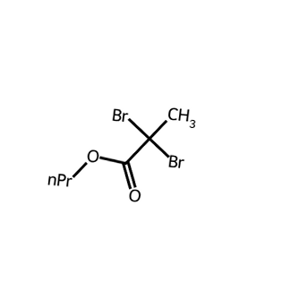 CCCOC(=O)C(C)(Br)Br